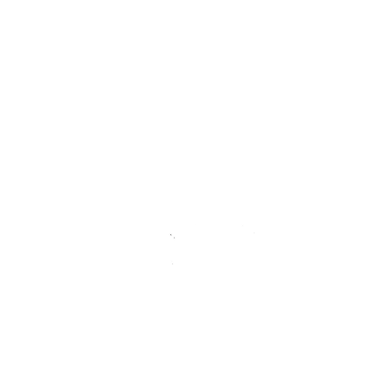 Bc1ccc(=O)n(Cc2ccc(CC)cc2)c1